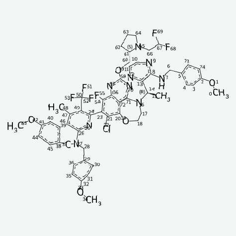 COc1ccc(CNc2nccnc2[C@@H](C)N2CCOc3c(Cl)c(-c4nc(N(Cc5ccc(OC)cc5)Cc5ccc(OC)cc5)cc(C)c4C(F)(F)F)c(F)c4nc(OC[C@@H]5CCCN5CC(F)F)nc2c34)cc1